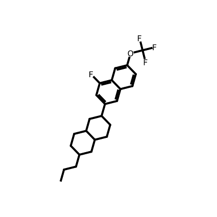 CCCC1CCC2CC(c3cc(F)c4cc(OC(F)(F)F)ccc4c3)CCC2C1